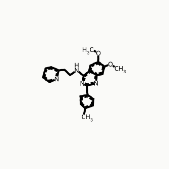 COc1cc2nc(-c3ccc(C)cc3)nc(NCCc3ccccn3)c2cc1OC